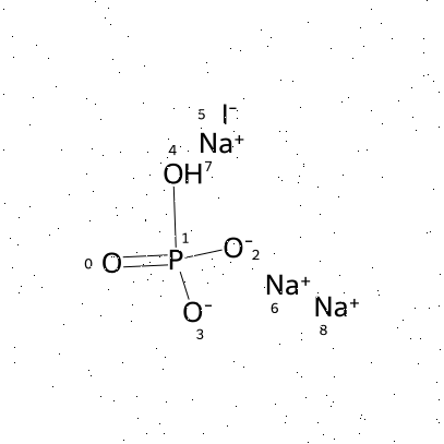 O=P([O-])([O-])O.[I-].[Na+].[Na+].[Na+]